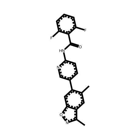 Cc1cc2c(C)noc2cc1-c1ccc(NC(=O)c2c(F)cccc2F)nc1